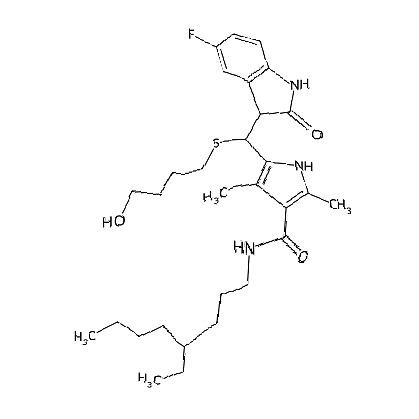 CCCCC(CC)CCCNC(=O)c1c(C)[nH]c(C(SCCCCO)C2C(=O)Nc3ccc(F)cc32)c1C